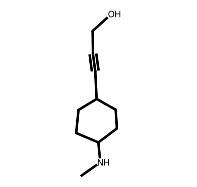 CNC1CCC(C#CCO)CC1